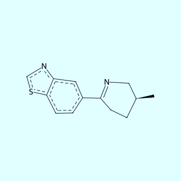 C[C@H]1CCC(c2ccc3scnc3c2)=NC1